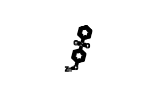 O=S(=O)(c1ccccc1)c1ccc([O][Zn])cc1